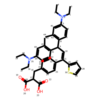 CCN(CC)c1ccc(C(/C=C(\c2ccc(CC(C(=O)O)C(=O)O)cc2)c2cccs2)c2ccc(N(CC)CC)cc2C)c(C)c1